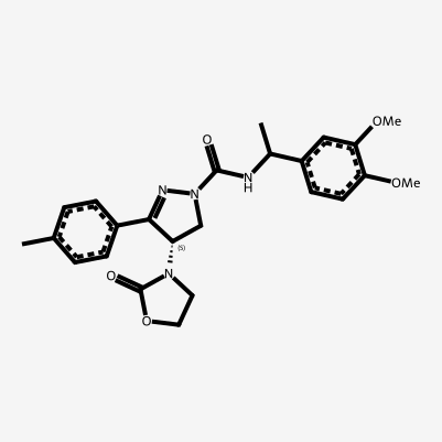 COc1ccc(C(C)NC(=O)N2C[C@H](N3CCOC3=O)C(c3ccc(C)cc3)=N2)cc1OC